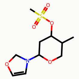 CC1COC(N2C=COC2)CC1OS(C)(=O)=O